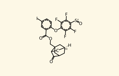 O=[S+]c1c(F)c(F)c(Oc2ccc(I)cc2C(=O)OCC23CC4C[C@@H](CC2C4=O)C3)c(F)c1F